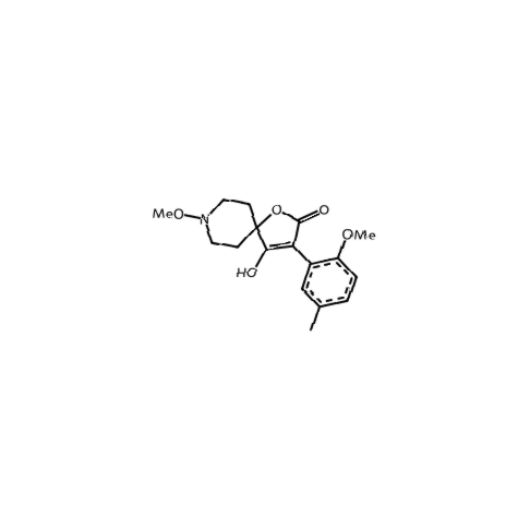 COc1ccc(C)cc1C1=C(O)C2(CCN(OC)CC2)OC1=O